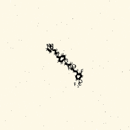 Fc1cc(OC(F)(F)F)ccc1C=Cc1nc(COc2ccc(COCCn3ccnn3)cc2)co1